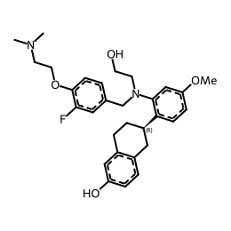 COc1ccc([C@@H]2CCc3cc(O)ccc3C2)c(N(CCO)Cc2ccc(OCCN(C)C)c(F)c2)c1